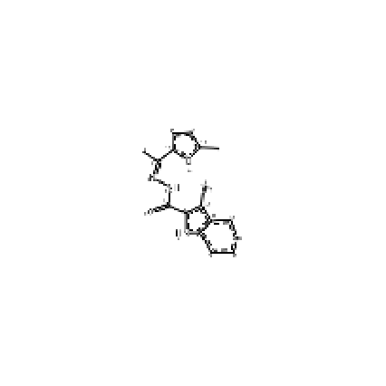 CC(=NNC(=O)c1[nH]c2ccccc2c1C(C)C)c1ccc(C)o1